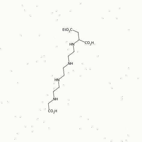 CCOC(=O)CC(NCCNCCNCCNCC(=O)O)C(=O)O